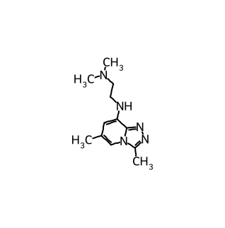 Cc1cc(NCCN(C)C)c2nnc(C)n2c1